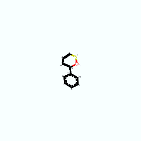 C1=CSOC(c2ccccc2)=C1